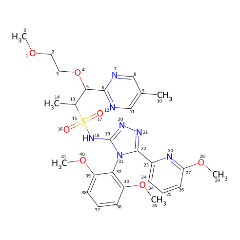 COCCOC(c1ncc(C)cn1)C(C)S(=O)(=O)Nc1nnc(-c2cccc(OC)n2)n1-c1c(OC)cccc1OC